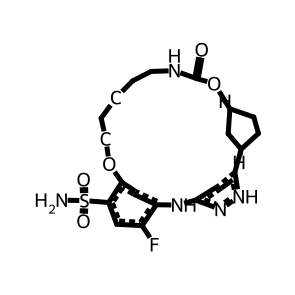 NS(=O)(=O)c1cc(F)c2cc1OCCCCCNC(=O)O[C@@H]1CC[C@@H](C1)c1cc(n[nH]1)N2